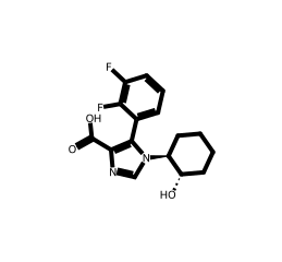 O=C(O)c1ncn([C@H]2CCCC[C@@H]2O)c1-c1cccc(F)c1F